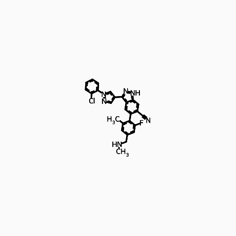 CNCc1cc(C)c(-c2cc3c(-c4cnn(-c5ccccc5Cl)c4)n[nH]c3cc2C#N)c(F)c1